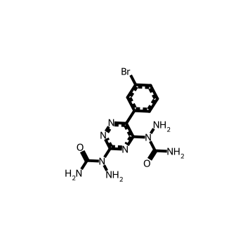 NC(=O)N(N)c1nnc(-c2cccc(Br)c2)c(N(N)C(N)=O)n1